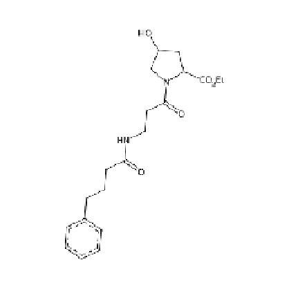 CCOC(=O)C1CC(O)CN1C(=O)CCNC(=O)CCCc1ccccc1